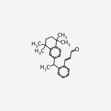 CC(c1ccc2c(c1)C(C)(C)CCC2(C)C)c1ccccc1C=CC=O